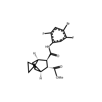 COC(=O)[C@H]1[C@H](C(=O)Nc2cc(F)c(Br)cc2F)[C@@H]2C=C[C@H]1C21CC1